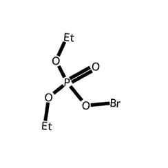 CCOP(=O)(OBr)OCC